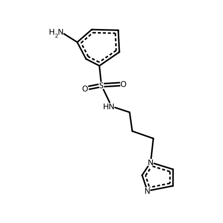 Nc1cccc(S(=O)(=O)NCCCn2ccnc2)c1